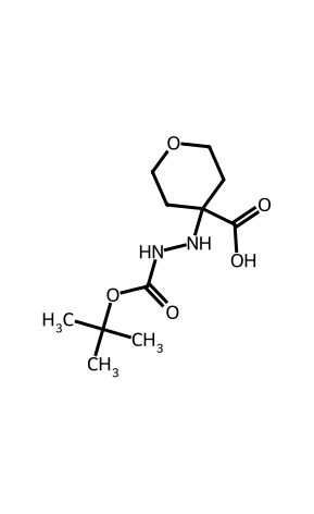 CC(C)(C)OC(=O)NNC1(C(=O)O)CCOCC1